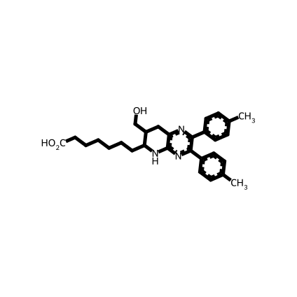 Cc1ccc(-c2nc3c(nc2-c2ccc(C)cc2)NC(CCCCCCC(=O)O)C(CO)C3)cc1